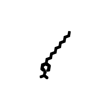 CCCCCCCCCCCc1cc[n+](C(C)C)cc1